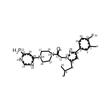 Cc1cc(-c2cc(CC(C)C)n(CC(=O)N3CCN(c4cc(P)ncn4)CC3)n2)ccc1F